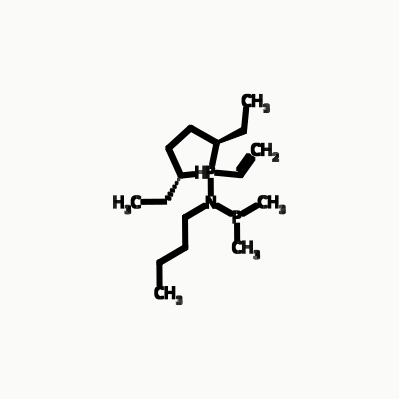 C=C[PH]1(N(CCCC)P(C)C)[C@H](CC)CC[C@H]1CC